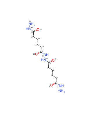 NNC(=O)CCCCC(=O)NNC(=O)CCCCC(=O)NN